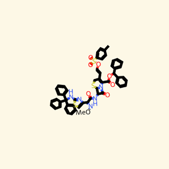 CON=C(C(=O)NC1C(=O)N2C(C(=O)OC(c3ccccc3)c3ccccc3)=C(C=COS(=O)(=O)c3ccc(C)cc3)CSC12)c1csc(NC(c2ccccc2)(c2ccccc2)c2ccccc2)n1